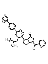 CC(C)CC(NC(=O)c1ccc(-c2cnco2)cc1)C(=O)N1CCC2C1C(=O)CN2C(=O)c1ccccn1